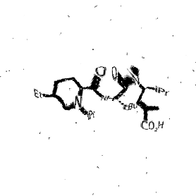 CCC1CC[C@@H](C(=O)N[C@H](C(=O)N(C)[C@H](/C=C(\C)C(=O)O)C(C)C)C(C)(C)C)N(C(C)C)C1